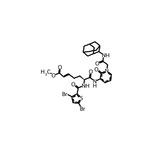 COC(=O)/C=C/CC[C@H](NC(=O)c1sc(Br)cc1Br)C(=O)Nc1cccn(CC(=O)NC2C3CC4CC(C3)CC2C4)c1=O